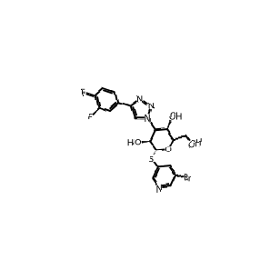 OCC1O[C@H](Sc2cncc(Br)c2)[C@@H](O)C(n2cc(-c3ccc(F)c(F)c3)nn2)[C@H]1O